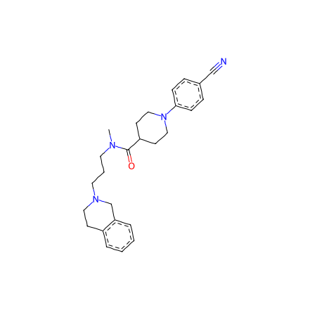 CN(CCCN1CCc2ccccc2C1)C(=O)C1CCN(c2ccc(C#N)cc2)CC1